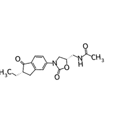 CC[C@H]1Cc2cc(N3C[C@H](CNC(C)=O)OC3=O)ccc2C1=O